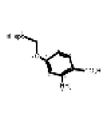 CCCCCCCCOc1ccc(C(=O)O)c(N)c1